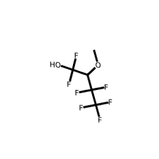 CO[C](C(O)(F)F)C(F)(F)C(F)(F)F